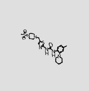 Cc1ccc(NC(=O)Nc2ncc(CN3CCN(S(C)(=O)=O)CC3)s2)c(N2CCCCC2)c1